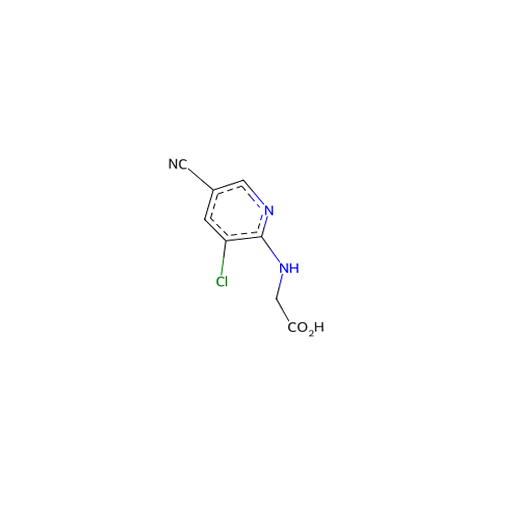 N#Cc1cnc(NCC(=O)O)c(Cl)c1